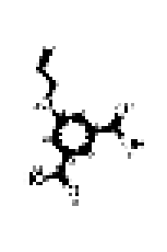 C=CCOc1cc(C(=O)O)cc(C(=O)O)c1